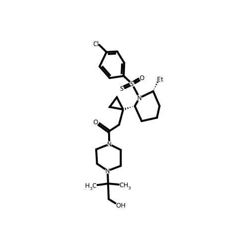 CC[C@@H]1CCC[C@H](C2(CC(=O)N3CCN(C(C)(C)CO)CC3)CC2)N1S(=O)(=S)c1ccc(Cl)cc1